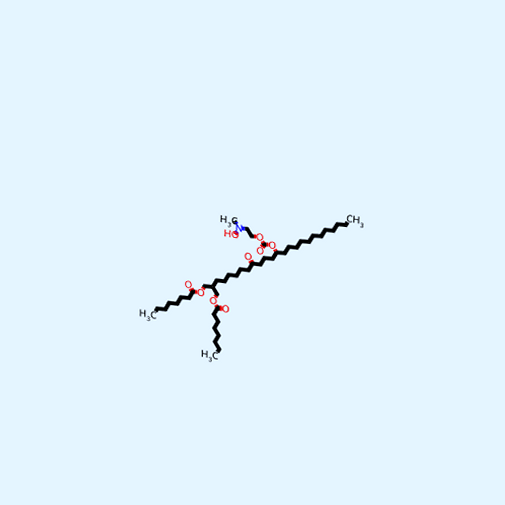 CCCCCCCCCCCCC(CCCC(=O)CCCCCCC(COC(=O)CCCCCCC)COC(=O)CCCCCCC)OC(=O)OCCN(C)O